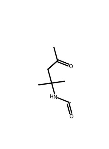 CC(=O)CC(C)(C)N[C]=O